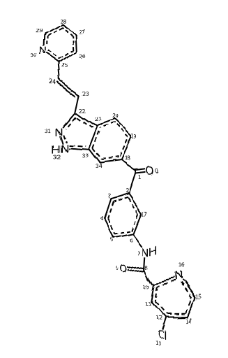 O=C(c1cccc(NC(=O)c2cc(Cl)ccn2)c1)c1ccc2c(/C=C/c3ccccn3)n[nH]c2c1